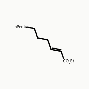 CCCCCCCCC=CC(=O)OCC